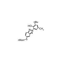 CCCCCCCCCSc1ccc2nn(-c3cc(C)cc(CCCC)c3O)nc2c1